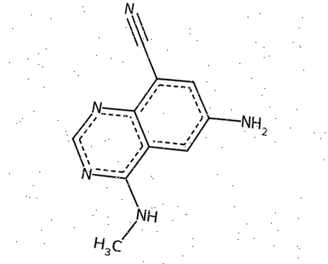 CNc1ncnc2c(C#N)cc(N)cc12